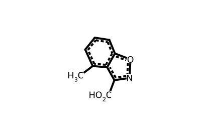 Cc1cccc2onc(C(=O)O)c12